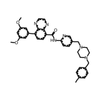 COc1cc(OC)cc(-c2ccc(C(=O)Nc3ccc(CN4CCN(Cc5ccc(C)cc5)CC4)cn3)c3nccnc23)c1